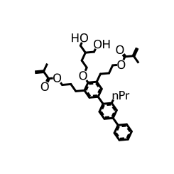 C=C(C)C(=O)OCCCc1cc(-c2ccc(-c3ccccc3)cc2CCC)cc(CCCOC(=O)C(=C)C)c1OCCC(CO)CO